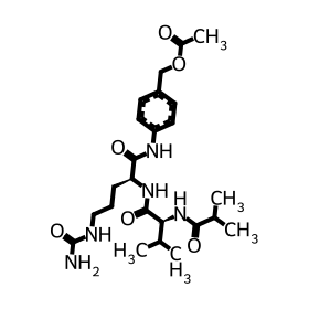 CC(=O)OCc1ccc(NC(=O)[C@H](CCCNC(N)=O)NC(=O)[C@@H](NC(=O)C(C)C)C(C)C)cc1